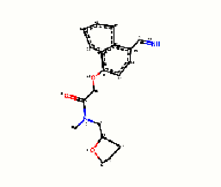 CN(CC1CCCO1)C(=O)COc1ccc(C=N)c2ccccc12